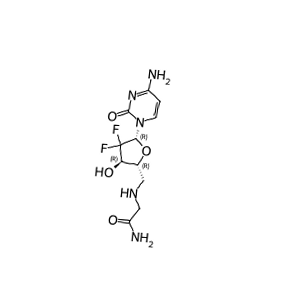 NC(=O)CNC[C@H]1O[C@@H](n2ccc(N)nc2=O)C(F)(F)[C@@H]1O